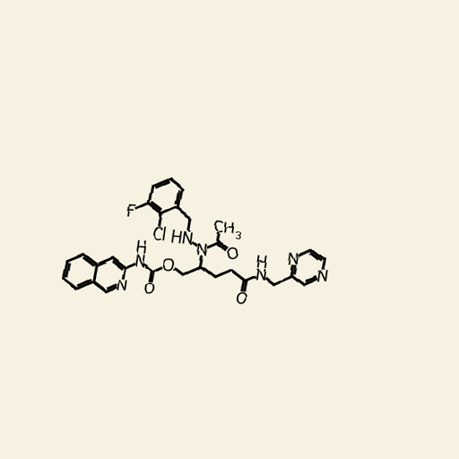 CC(=O)N(NCc1cccc(F)c1Cl)C(CCC(=O)NCc1cnccn1)COC(=O)Nc1cc2ccccc2cn1